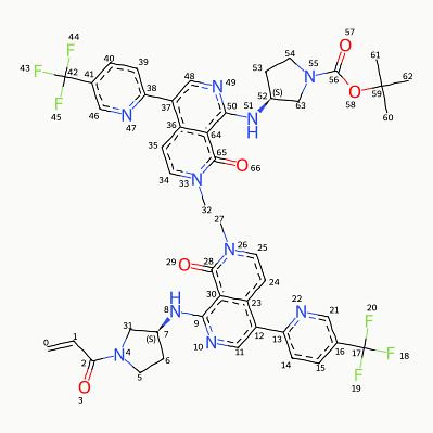 C=CC(=O)N1CC[C@H](Nc2ncc(-c3ccc(C(F)(F)F)cn3)c3ccn(C)c(=O)c23)C1.Cn1ccc2c(-c3ccc(C(F)(F)F)cn3)cnc(N[C@H]3CCN(C(=O)OC(C)(C)C)C3)c2c1=O